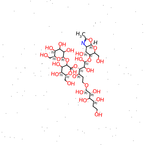 CC1=NC2[C@@H](O1)OC(CO)[C@@H](O[C@H](O)C(O)[C@@H](O[C@H]1O[C@@H](CO)[C@@H](O)C(O)C1O[C@H]1O[C@@H](CO)[C@@H](O)C(O)C1O)[C@H](O)CCO[C@@H](O)[C@H](O)C(O)[C@H](O)CCO)[C@@H]2O